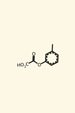 Cc1cccc(OC(=O)C(=O)O)c1